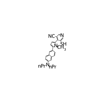 CCCN(CCC)c1ccc2cc(-c3ccc(-c4c(S)cncc4C#N)n3C)ccc2c1